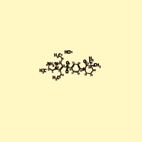 CCc1nn(C[C@H](C)N)c(CC)c1S(=O)(=O)c1ccc(N2CCCC(C)(C)C2=O)cc1.Cl